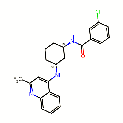 O=C(N[C@@H]1CCC[C@H](Nc2cc(C(F)(F)F)nc3ccccc23)C1)c1cccc(Cl)c1